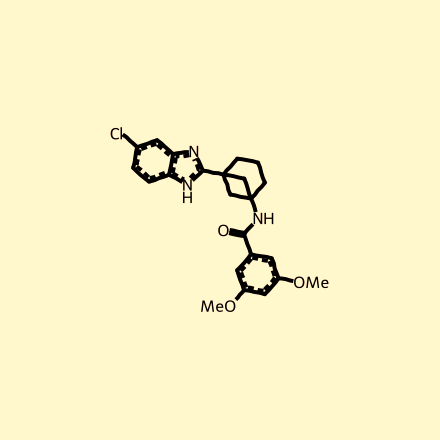 COc1cc(OC)cc(C(=O)NC23CCCC(c4nc5cc(Cl)ccc5[nH]4)(C2)C3)c1